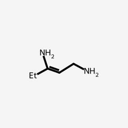 CCC(N)=CCN